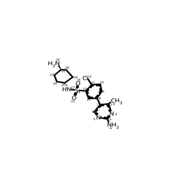 Cc1nc(N)ncc1-c1ccc(Cl)c(S(=O)(=O)N[C@H]2CC[C@H](N)CC2)c1